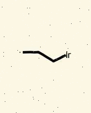 [CH2]C[CH2][Ir]